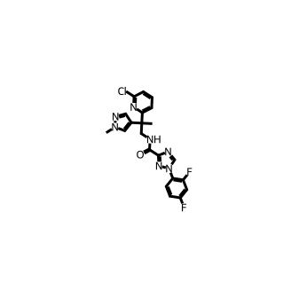 Cn1cc(C(C)(CNC(=O)c2ncn(-c3ccc(F)cc3F)n2)c2cccc(Cl)n2)cn1